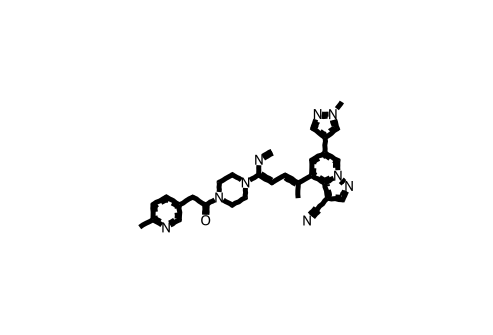 C=N/C(=C\C=C(/C)c1cc(-c2cnn(C)c2)cn2ncc(C#N)c12)N1CCN(C(=O)Cc2ccc(C)nc2)CC1